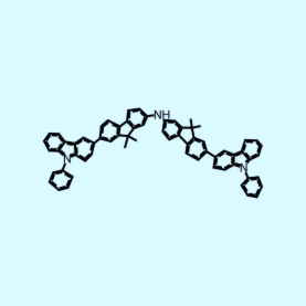 CC1(C)c2cc(Nc3ccc4c(c3)C(C)(C)c3cc(-c5ccc6c(c5)c5ccccc5n6-c5ccccc5)ccc3-4)ccc2-c2ccc(-c3ccc4c(c3)c3ccccc3n4-c3ccccc3)cc21